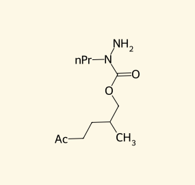 CCCN(N)C(=O)OCC(C)CCC(C)=O